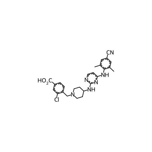 Cc1cc(C#N)cc(C)c1Nc1ccnc(NC2CCN(Cc3ccc(C(=O)O)cc3Cl)CC2)n1